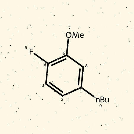 CCCCc1ccc(F)c(OC)c1